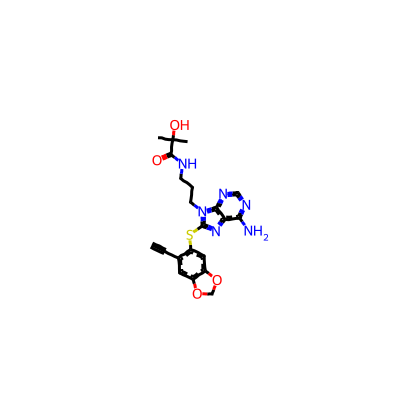 C#Cc1cc2c(cc1Sc1nc3c(N)ncnc3n1CCCNC(=O)C(C)(C)O)OCO2